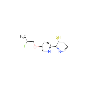 FC(COc1ccc(-c2ncccc2S)nc1)C(F)(F)F